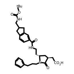 CC(C)(C)OC(=O)NCC1Cc2ccc(C(=O)NCC[C@@H]3C[C@@H](CC(=O)O)C(=O)N3CCCc3ccccc3)cc2C1